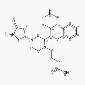 CN1CC(N2CCN(CCCC(=O)O)C(C(Cc3ccccc3)C3CCNCC3)C2)OC1=O